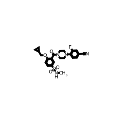 CNS(=O)(=O)c1ccc(OCC2CC2)c(C(=O)N2CCN(c3ccc(C#N)cc3F)CC2)c1